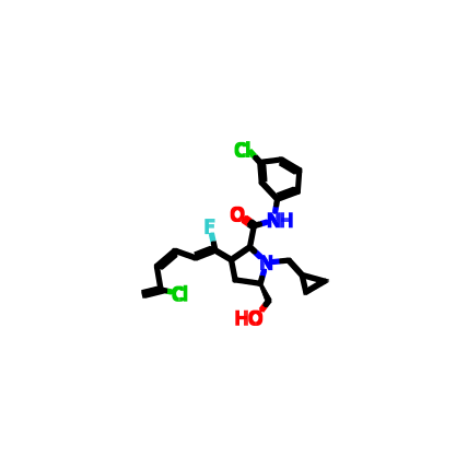 C=C(Cl)/C=C\C=C(/F)C1C[C@H](CO)N(CC2CC2)C1C(=O)Nc1cccc(Cl)c1